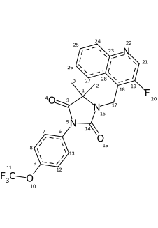 CC1(C)C(=O)N(c2ccc(OC(F)(F)F)cc2)C(=O)N1Cc1c(F)cnc2ccccc12